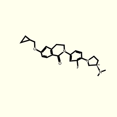 CN(C)[C@@H]1CCN(c2ccc(N3CCc4cc(OCC5CC5)ccc4C3=O)cc2F)C1